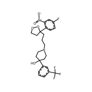 O=[N+]([O-])c1cc(F)ccc1C1(CCCN2CCC(O)(c3cccc(C(F)(F)F)c3)CC2)CCOO1